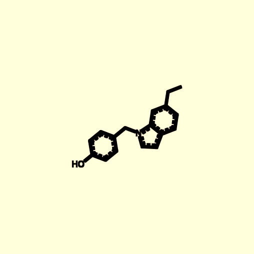 CCc1ccc2ccn(Cc3ccc(O)cc3)c2c1